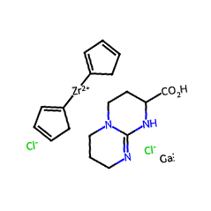 C1=CC[C]([Zr+2][C]2=CC=CC2)=C1.O=C(O)C1CCN2CCCN=C2N1.[Cl-].[Cl-].[Ga]